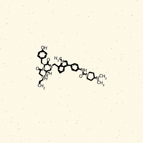 C=CCN1CC(=O)N2[C@H](CN(Cc3cccc4c(-c5ccc(NC(=O)N6CCC(N(C)C)CC6)cc5)cn(C)c34)C(=O)[C@@H]2Cc2ccc(O)cc2)N1